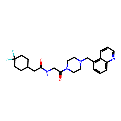 O=C(CC1CCC(F)(F)CC1)NCC(=O)N1CCN(Cc2cccc3ncccc23)CC1